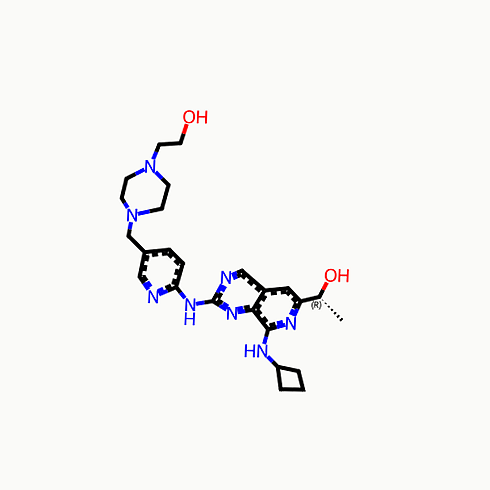 C[C@@H](O)c1cc2cnc(Nc3ccc(CN4CCN(CCO)CC4)cn3)nc2c(NC2CCC2)n1